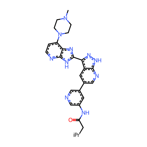 CC(C)CC(=O)Nc1cncc(-c2cnc3[nH]nc(-c4nc5c(N6CCN(C)CC6)ccnc5[nH]4)c3c2)c1